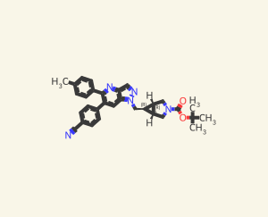 Cc1ccc(-c2nc3cnn(C[C@H]4[C@@H]5CN(C(=O)OC(C)(C)C)C[C@@H]54)c3cc2-c2ccc(C#N)cc2)cc1